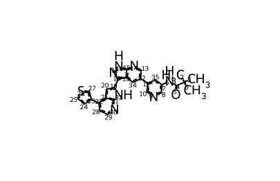 CC(C)(C)C(=O)Nc1cncc(-c2cnc3[nH]nc(-c4cc5c(-c6ccsc6)ccnc5[nH]4)c3c2)c1